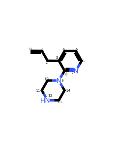 C=CCc1cccnc1N1CCNCC1